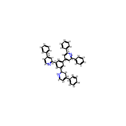 C1=NC(c2cc(-c3cc(-c4ccccc4)nc(-c4ccccc4)c3)cc(-c3cc(-c4ccccc4)ccn3)c2)CC(c2ccccc2)=C1